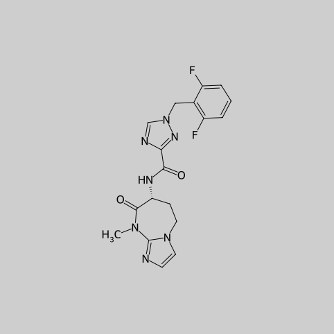 CN1C(=O)[C@H](NC(=O)c2ncn(Cc3c(F)cccc3F)n2)CCn2ccnc21